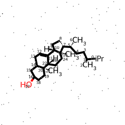 CC(C)C(C)CC[C@@H](C)[C@H]1CC[C@H]2C3=CCC4CC(O)CC[C@]4(C)[C@H]3CC[C@]12C